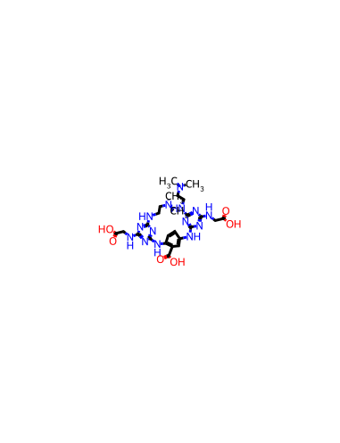 CN(C)CCNc1nc(NCC(=O)O)nc(Nc2ccc(Nc3nc(NCCN(C)C)nc(NCC(=O)O)n3)c(C(=O)O)c2)n1